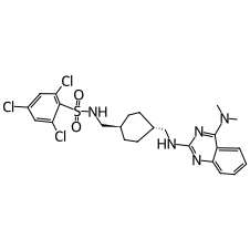 CN(C)c1nc(NC[C@H]2CC[C@H](CNS(=O)(=O)c3c(Cl)cc(Cl)cc3Cl)CC2)nc2ccccc12